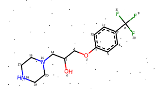 OC(COc1ccc(C(F)(F)F)cc1)CN1CCNCC1